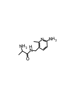 Cc1nc(N)ccc1CNC(=O)C(C)N